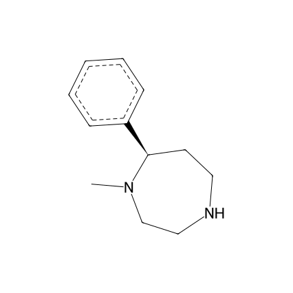 CN1CCNCC[C@@H]1c1ccccc1